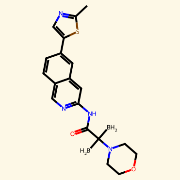 BC(B)(C(=O)Nc1cc2cc(-c3cnc(C)s3)ccc2cn1)N1CCOCC1